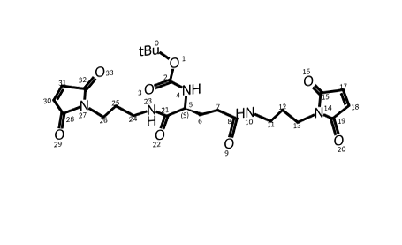 CC(C)(C)OC(=O)N[C@@H](CCC(=O)NCCCN1C(=O)C=CC1=O)C(=O)NCCCN1C(=O)C=CC1=O